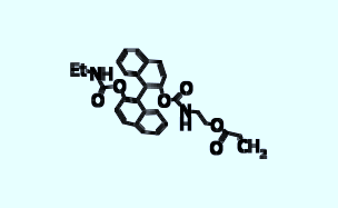 [CH2]CNC(=O)Oc1ccc2ccccc2c1-c1c(OC(=O)NCCOC(=O)C=C)ccc2ccccc12